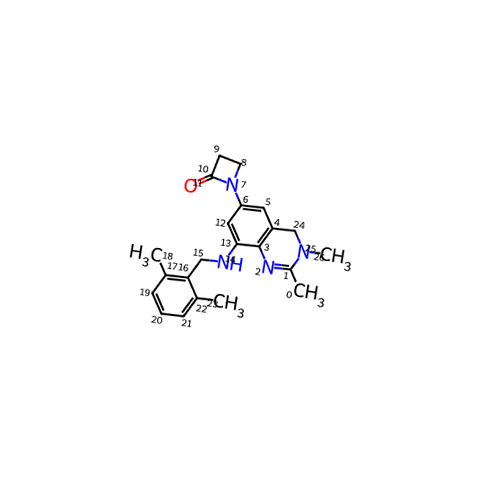 CC1=Nc2c(cc(N3CCC3=O)cc2NCc2c(C)cccc2C)CN1C